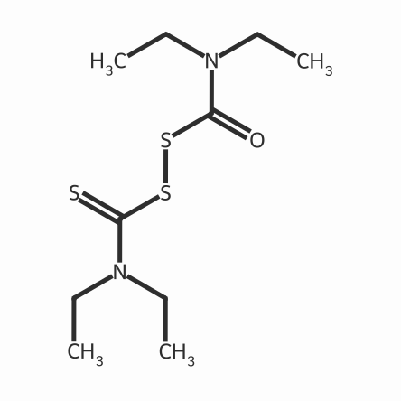 CCN(CC)C(=O)SSC(=S)N(CC)CC